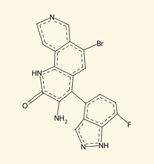 Nc1c(-c2ccc(F)c3[nH]ncc23)c2cc(Br)c3cnccc3c2[nH]c1=O